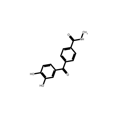 CNC(=O)c1ccc(C(=O)c2ccc(O)c(O)c2)cc1